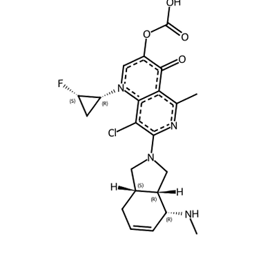 CN[C@@H]1C=CC[C@@H]2CN(c3nc(C)c4c(=O)c(OC(=O)O)cn([C@@H]5C[C@@H]5F)c4c3Cl)C[C@@H]21